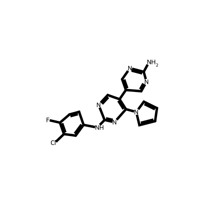 Nc1ncc(-c2cnc(Nc3ccc(F)c(Cl)c3)nc2-n2cccc2)cn1